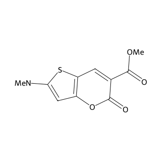 CNc1cc2oc(=O)c(C(=O)OC)cc2s1